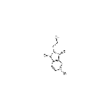 CC(C)c1ccc2c(c1)C(=O)N(CCO)C2=O